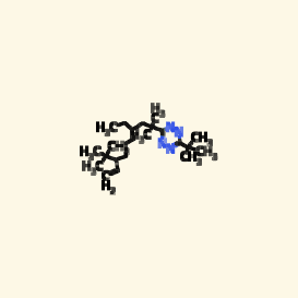 C=CC(CCCC(CC)CC(C)(C)c1nnc(C(C)(C)C)nn1)C(C)(C)C